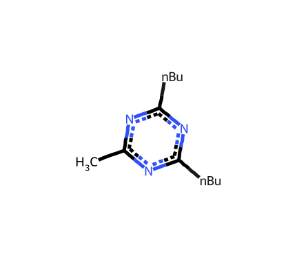 CCCCc1nc(C)nc(CCCC)n1